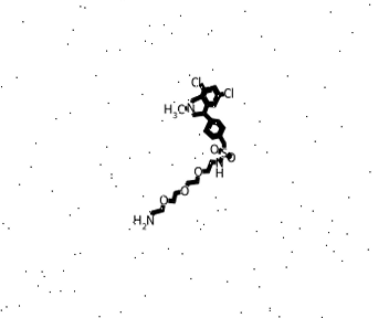 CN1Cc2c(Cl)cc(Cl)cc2C(c2ccc(CS(=O)(=O)NCCOCCOCCOCCN)cc2)C1